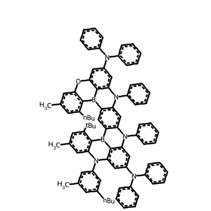 CCCCc1cc(C)cc(N2c3cc(N(c4ccccc4)c4ccccc4)cc4c3B(c3cc5c(cc3N4c3ccccc3)N(c3ccccc3)c3cc(N(c4ccccc4)c4ccccc4)cc4c3B5c3c(CCCC)cc(C)cc3O4)c3c2cc(C)cc3C(C)(C)C)c1